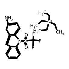 CC[N+](CC)(CC)CC.NC1=CC=C2C(=Cc3ccccc3N2S(=O)(=O)C(F)(F)F)C1